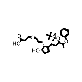 CC(Oc1ccccc1)C(CCC1=CC[C@H](O)[C@@H]1CCC=C=CCC(=O)O)O[Si](C)(C)C(C)(C)C